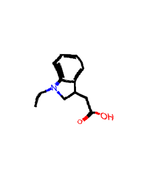 CCN1CC(CC(=O)O)c2ccccc21